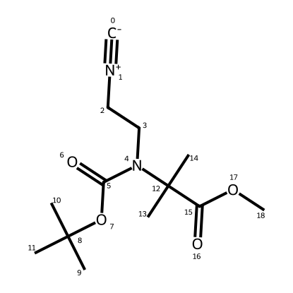 [C-]#[N+]CCN(C(=O)OC(C)(C)C)C(C)(C)C(=O)OC